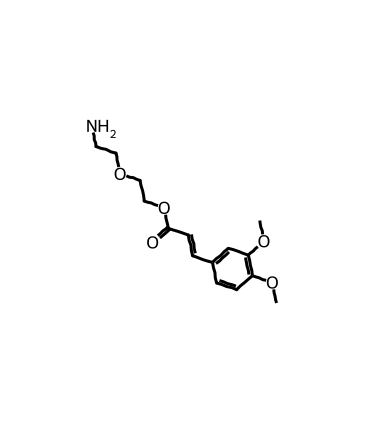 COc1ccc(/C=C/C(=O)OCCOCCN)cc1OC